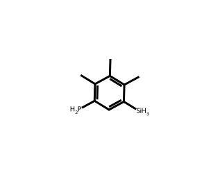 Cc1c([SiH3])cc(P)c(C)c1C